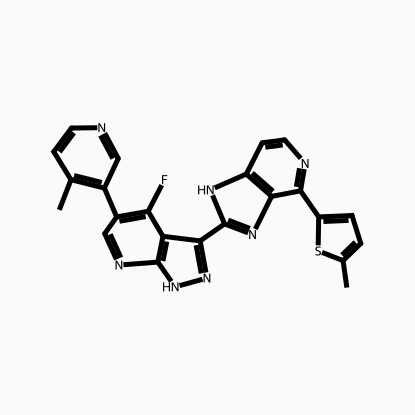 Cc1ccc(-c2nccc3[nH]c(-c4n[nH]c5ncc(-c6cnccc6C)c(F)c45)nc23)s1